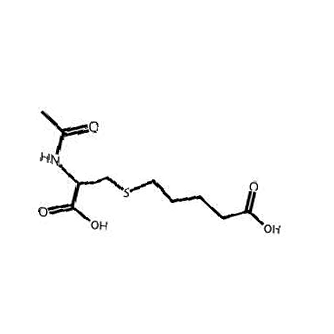 CC(=O)NC(CSCCCCC(=O)O)C(=O)O